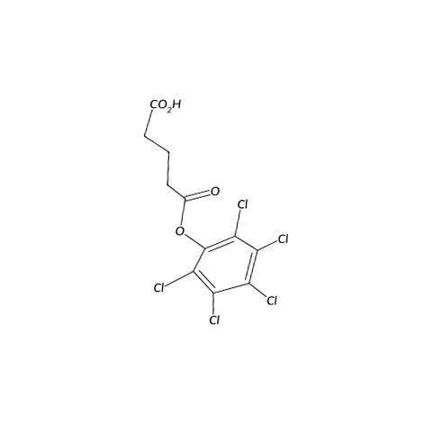 O=C(O)CCCC(=O)Oc1c(Cl)c(Cl)c(Cl)c(Cl)c1Cl